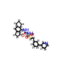 O=C(Nc1c2c(cc3c1CCC3)CCC2)NS(=O)(=O)/C=C/c1cccc(-c2cccnc2)c1